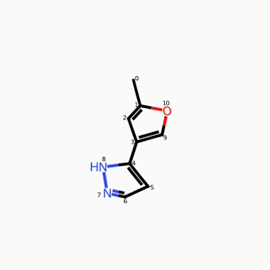 Cc1cc(-c2ccn[nH]2)co1